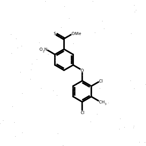 COC(=S)c1cc(Oc2ccc(Cl)c(C)c2Cl)ccc1[N+](=O)[O-]